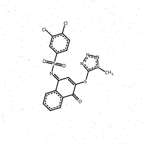 Cn1nnnc1SC1=C/C(=N\S(=O)(=O)c2ccc(Cl)c(Cl)c2)c2ccccc2C1=O